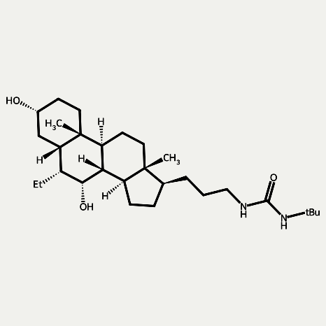 CC[C@H]1[C@@H](O)[C@@H]2[C@H](CC[C@]3(C)[C@@H](CCCNC(=O)NC(C)(C)C)CC[C@@H]23)[C@@]2(C)CC[C@@H](O)C[C@@H]12